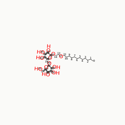 CCCCCCCCCCCCOCCO[C@H]1O[C@H](CO[C@@H]2O[C@H](CO)[C@H](O)[C@H](O)[C@H]2O)[C@@H](O)[C@H](O)[C@H]1O